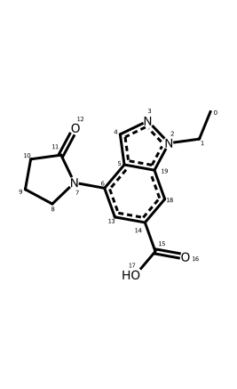 CCn1ncc2c(N3CCCC3=O)cc(C(=O)O)cc21